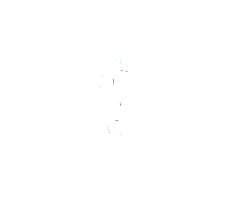 Cc1ccc2c(c1)C1(CC1c1cc3c(cc1C)C1(CC1)NC3=O)C(=O)N2